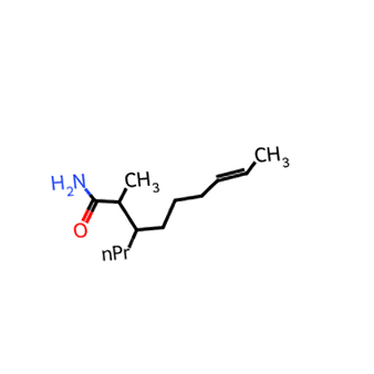 CC=CCCCC(CCC)C(C)C(N)=O